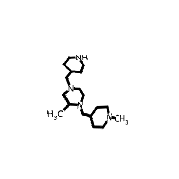 CC1CN(CC2CCNCC2)CCN1CC1CCN(C)CC1